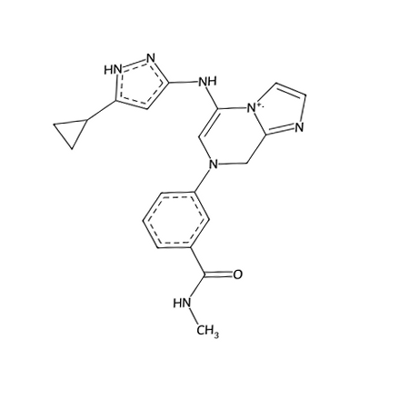 CNC(=O)c1cccc(N2C=C(Nc3cc(C4CC4)[nH]n3)[N+]3C=CN=C3C2)c1